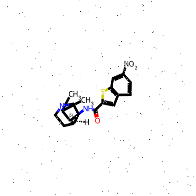 CC1(C)[C@@H](NC(=O)c2cc3ccc([N+](=O)[O-])cc3s2)C2CCN1CC2